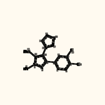 CCCn1nc(-c2ccc(Cl)c(Cl)c2)c(-n2ccnc2)c1SC